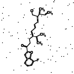 C=CC(=C)/C(=C/C=C/C=C(/CCC(=O)c1cc2cccc(F)c2o1)C(=C)C)CCl